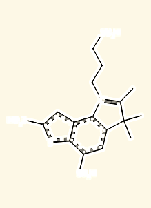 CC1=[N+](CCCS(=O)(=O)O)c2c(cc(S(=O)(=O)O)c3sc(S(=O)(=O)O)cc23)C1(C)C